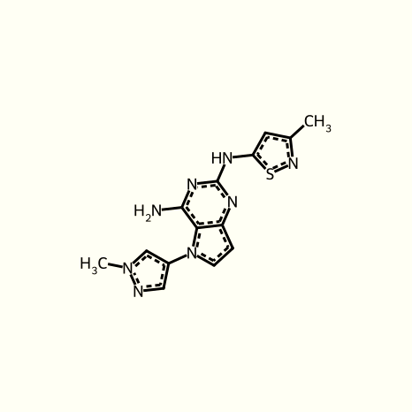 Cc1cc(Nc2nc(N)c3c(ccn3-c3cnn(C)c3)n2)sn1